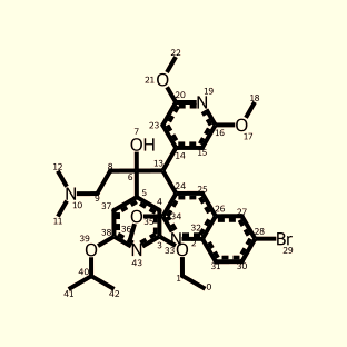 CCOc1cc(C(O)(CCN(C)C)C(c2cc(OC)nc(OC)c2)c2cc3cc(Br)ccc3nc2OC)cc(OC(C)C)n1